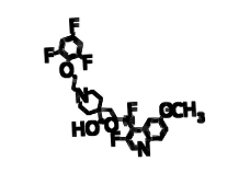 COc1ccc2ncc(F)c([C@H](F)CCC3(C(=O)O)CCN(CCOc4c(F)cc(F)cc4F)CC3)c2c1